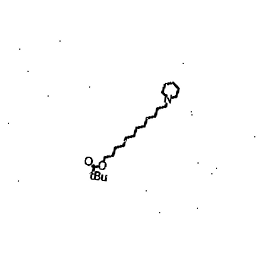 CC(C)(C)C(=O)OCCCCCCCCCCCCN1CCCCC1